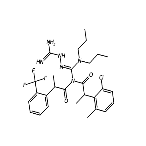 CCCN(CCC)C(=NNC(=N)N)N(C(=O)C(C)c1ccccc1C(F)(F)F)C(=O)C(C)c1c(C)cccc1Cl